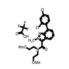 COCCN(CCOC)C(=O)c1c2cccc(-c3ccc(Cl)cc3Cl)c2nn1C.O=C(O)C(F)(F)F